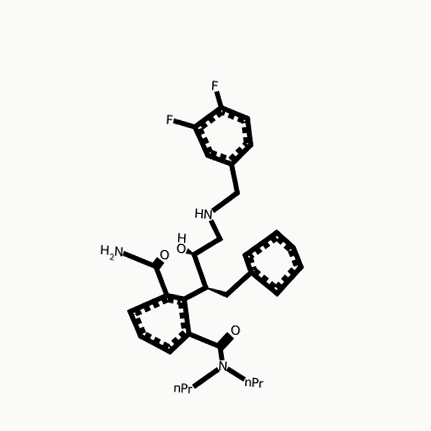 CCCN(CCC)C(=O)c1cccc(C(N)=O)c1[C@H](Cc1ccccc1)[C@@H](O)CNCc1ccc(F)c(F)c1